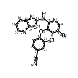 N#Cc1ccc(Oc2cc(Br)cnc2Nc2nc3cccnc3s2)c(Cl)c1